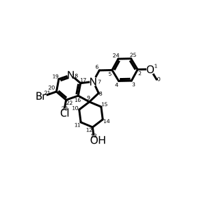 COc1ccc(CN2CC3(CCC(O)CC3)c3c2ncc(Br)c3Cl)cc1